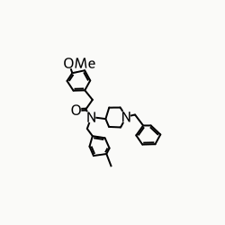 COc1ccc(CC(=O)N(Cc2ccc(C)cc2)C2CCN(Cc3ccccc3)CC2)cc1